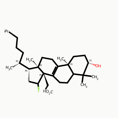 CC(C)CCC[C@@H](C)[C@H]1CC(F)[C@@]2(CC(=O)O)C3=C(CC[C@]12C)[C@@]1(C)CC[C@H](O)C(C)(C)C1CC3